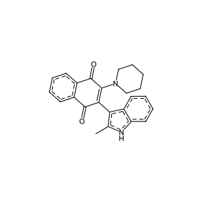 Cc1[nH]c2ccccc2c1C1=C(N2CCCCC2)C(=O)c2ccccc2C1=O